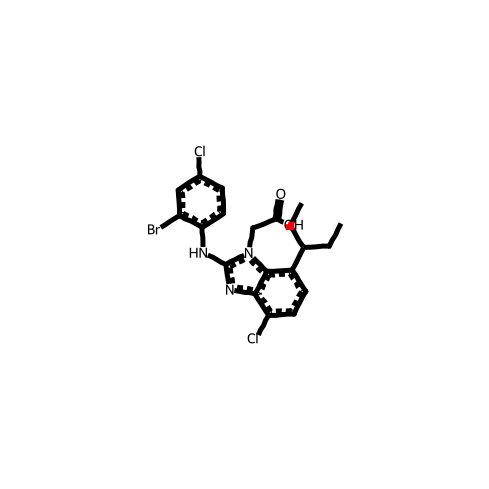 CCC(CC)c1ccc(Cl)c2nc(Nc3ccc(Cl)cc3Br)n(CC(=O)O)c12